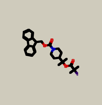 CC(C)(I)C(=O)OC(C)(C)C1CCN(C(=O)OCC2c3ccccc3-c3ccccc32)CC1